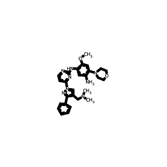 COc1cc(N2CCOCC2)c(N)cc1Nc1nccc(-n2cc(CN(C)C)c(-c3ccccc3)n2)n1